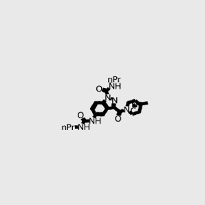 CCCNC(=O)Nc1ccc2c(c1)c(C(=O)N1CC3CCC1CN3C)nn2C(=O)NCCC